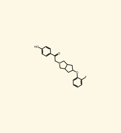 O=C(CN1CC2CC(Oc3ccccc3F)CC2C1)c1ccc(O)cc1